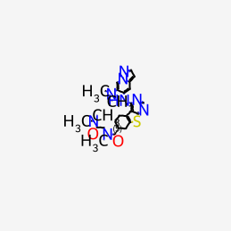 CN(C)C(=O)CN(C)C(=O)[C@H]1CCc2c(sc3ncnc(Nc4cc5ccnn5cc4N(C)C)c23)C1